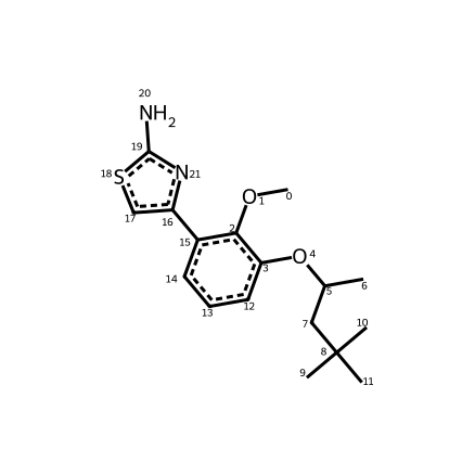 COc1c(OC(C)CC(C)(C)C)cccc1-c1csc(N)n1